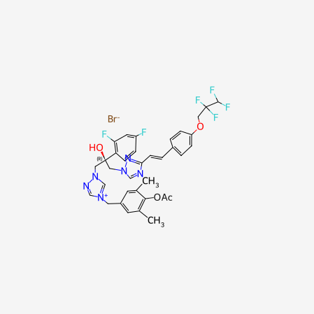 CC(=O)Oc1c(C)cc(C[n+]2cnn(C[C@@](O)(Cn3cnc(C=Cc4ccc(OCC(F)(F)C(F)F)cc4)n3)c3ccc(F)cc3F)c2)cc1C.[Br-]